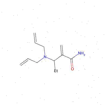 C=CCN(CC=C)C(CC)C(=C)C(N)=O